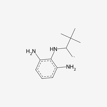 [CH2]C(Nc1c(N)cccc1N)C(C)(C)C